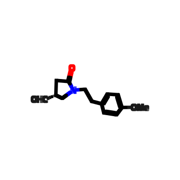 COc1ccc(CCN2C[C@H](C=O)CC2=O)cc1